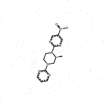 C[C@H]1CN(c2ncccn2)CCN1c1ncc([N+](=O)[O-])cn1